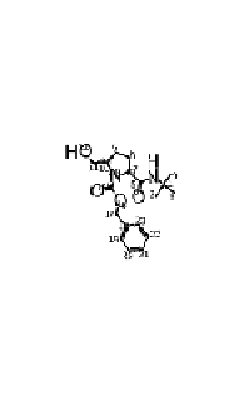 CC(C)(C)NC(=O)[C@@H]1CC[C@H](CO)N1C(=O)OCc1ccccc1